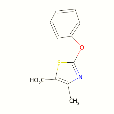 Cc1nc(Oc2ccccc2)sc1C(=O)O